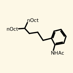 CCCCCCCCC(CCCCCCCC)CCCc1ccccc1NC(C)=O